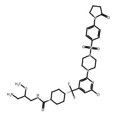 COC(CN)CNC(=O)[C@H]1CC[C@H](C(F)(F)c2cc(Cl)nc(N3CCN(S(=O)(=O)c4ccc(N5CCCC5=O)cc4)CC3)c2)CC1